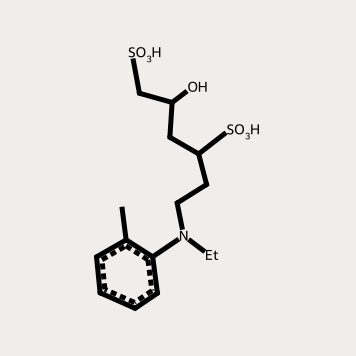 CCN(CCC(CC(O)CS(=O)(=O)O)S(=O)(=O)O)c1ccccc1C